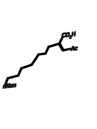 CCCCCCCCCCCCCCCCC(CC(C)=O)C(=O)O